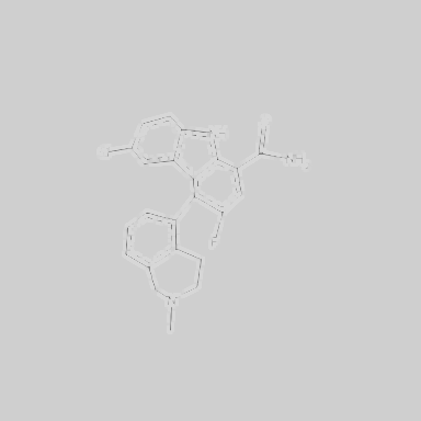 CN1CCc2c(cccc2-c2c(F)cc(C(N)=O)c3[nH]c4ccc(Cl)cc4c23)C1